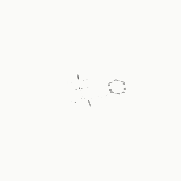 CCOC(=O)CN(C(=O)OCc1ccccc1)C(Cl)(Cl)P(=O)(O)O